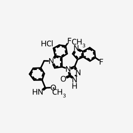 COC(=N)c1cccc(Cn2cc(-n3c(-c4cn(C)c5ccc(F)cc45)n[nH]c3=O)c3cc(F)ccc32)c1.Cl